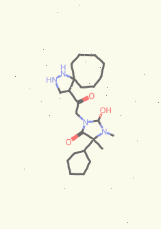 CN1C(O)N(CC(=O)C2CNNC23CCCCCCC3)C(=O)C1(C)C1CCCCC1